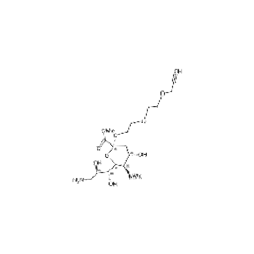 C#CCOCCOCCO[C@]1(C(=O)OC)C[C@H](O)[C@@H](NC(C)=O)[C@H]([C@H](O)[C@H](O)CN)O1